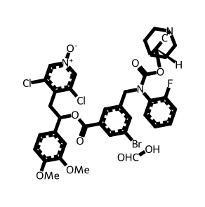 COc1ccc(C(Cc2c(Cl)c[n+]([O-])cc2Cl)OC(=O)c2cc(Br)cc(CN(C(=O)O[C@H]3CN4CCC3CC4)c3ccccc3F)c2)cc1OC.O=CO